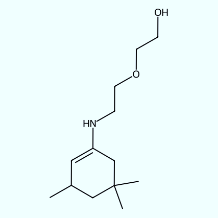 CC1C=C(NCCOCCO)CC(C)(C)C1